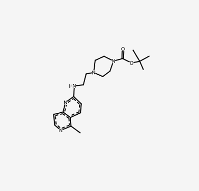 Cc1nccc2nc(NCCN3CCN(C(=O)OC(C)(C)C)CC3)ccc12